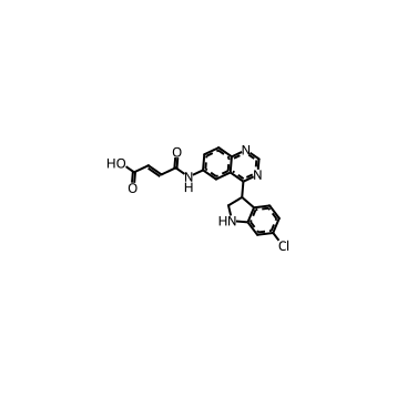 O=C(O)C=CC(=O)Nc1ccc2ncnc(C3CNc4cc(Cl)ccc43)c2c1